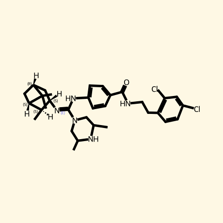 CC1CN(/C(=N/[C@H]2C[C@H]3C[C@@H]([C@@H]2C)C3(C)C)Nc2ccc(C(=O)NCCc3ccc(Cl)cc3Cl)cc2)CC(C)N1